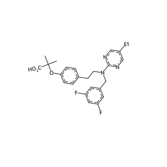 CCc1cnc(N(CCc2ccc(OC(C)(C)C(=O)O)cc2)Cc2cc(F)cc(F)c2)nc1